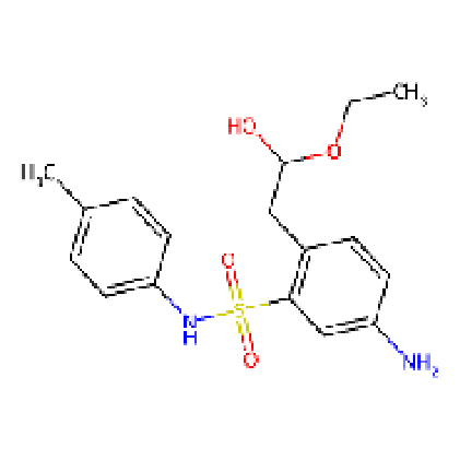 CCOC(O)Cc1ccc(N)cc1S(=O)(=O)Nc1ccc(C)cc1